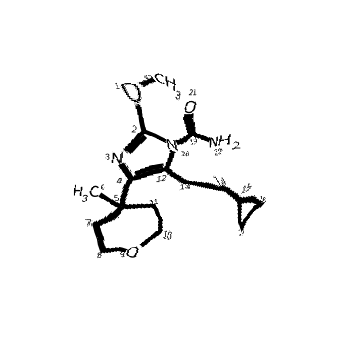 COc1nc(C2(C)CCOCC2)c(CCC2CC2)n1C(N)=O